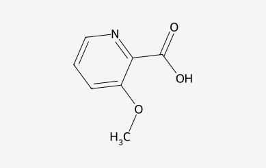 COc1cccnc1C(=O)O